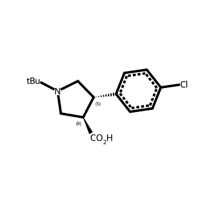 CC(C)(C)N1C[C@H](C(=O)O)[C@@H](c2ccc(Cl)cc2)C1